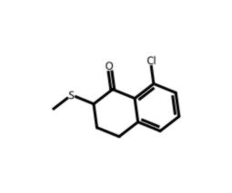 CSC1CCc2cccc(Cl)c2C1=O